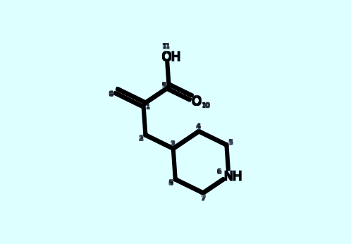 C=C(CC1CCNCC1)C(=O)O